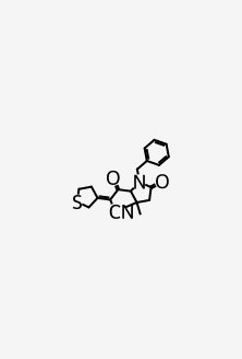 CC1(C)CC(=O)N(Cc2ccccc2)C1C(=O)/C(C#N)=C1\CCSC1